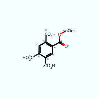 CCCCCCCCOC(=O)c1cc(C(=O)O)c(C(=O)O)cc1C(=O)O